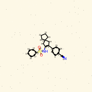 N#Cc1ccc(C2=C(NS(=O)(=O)c3ccccc3)CC3(CCCC3)C2)cc1